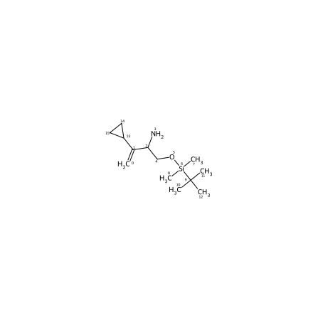 C=C(C(N)CO[Si](C)(C)C(C)(C)C)C1CC1